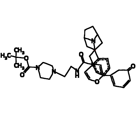 CC(C)(C)OC(=O)N1CCN(CCNC(=O)c2ccccc2C2CC3CCC(C2)N3CCN2C=COC(C3=CC=CC(=O)C3)=C2)CC1